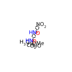 C=C(C)C(NC(=O)c1ccc(NC(=O)c2ccc([N+](=O)[O-])cc2)cc1)C(C=O)OC